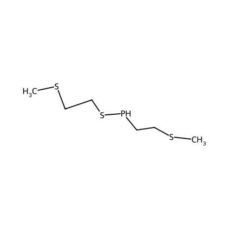 CSCCPSCCSC